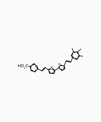 Cc1cc(/C=C/c2ccc(-c3ccc(/C=C/c4ccc(C(=O)O)cc4)s3)s2)cc(C)c1C